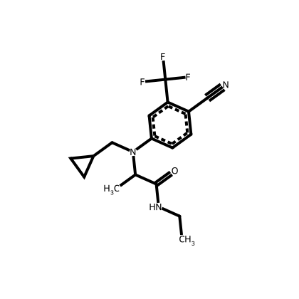 CCNC(=O)C(C)N(CC1CC1)c1ccc(C#N)c(C(F)(F)F)c1